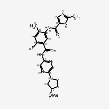 CO[C@@H]1CCN(c2cnc(NC(=O)c3cc(NC(=O)c4cnc(C)s4)c(C)cc3F)cn2)C1